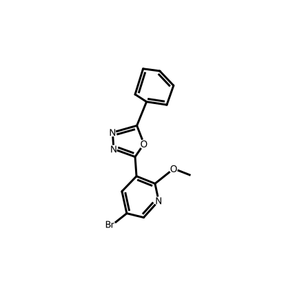 COc1ncc(Br)cc1-c1nnc(-c2ccccc2)o1